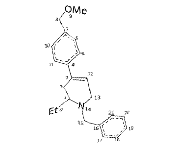 CCC1CC(c2ccc(COC)cc2)=CCN1Cc1ccccc1